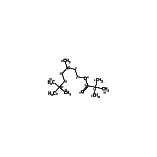 CN(CCOC(=O)C(C)(C)C)CCC(C)(C)C